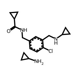 NC1CC1.O=C(NCc1ccc(Cl)c(CNC2CC2)c1)C1CC1